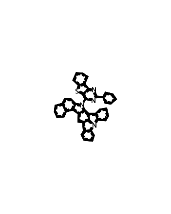 c1ccc(-c2nc(-n3c4ccc5ccccc5c4c4cc5c6ccccc6n6c7ccccc7c(c43)c56)c3sc4ccccc4c3n2)cc1